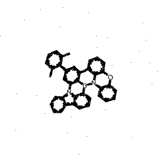 Cc1cccc(C)c1-c1cc2c3c(c1)-n1c4ccccc4c4cccc(c41)B3N1c3ccccc3Oc3cccc-2c31